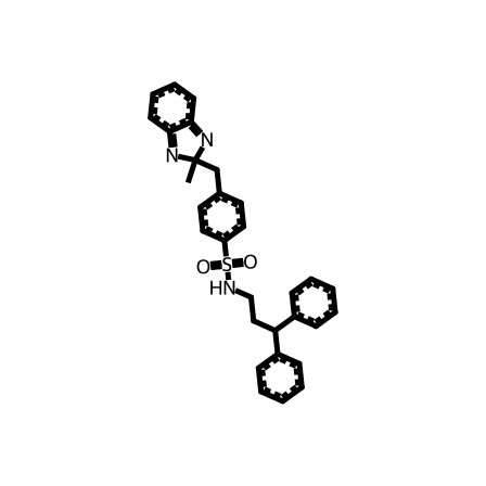 CC1(Cc2ccc(S(=O)(=O)NCCC(c3ccccc3)c3ccccc3)cc2)N=c2ccccc2=N1